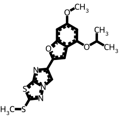 COc1cc(OC(C)C)c2cc(-c3cn4nc(SC)sc4n3)oc2c1